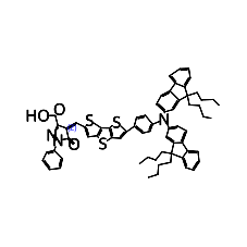 CCCCC1(CCCC)c2ccccc2-c2ccc(N(c3ccc(-c4cc5sc6cc(/C=C7\C(=O)N(c8ccccc8)N=C7C(=O)O)sc6c5s4)cc3)c3ccc4c(c3)C(CCCC)(CCCC)c3ccccc3-4)cc21